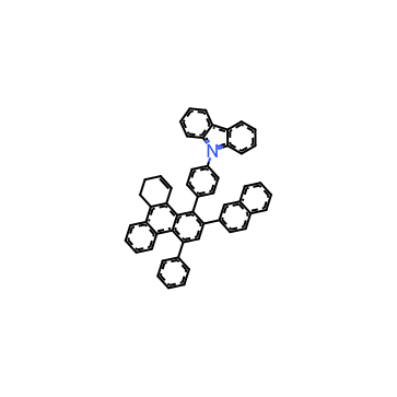 C1=Cc2c(c3ccccc3c3c(-c4ccccc4)cc(-c4ccc5ccccc5c4)c(-c4ccc(-n5c6ccccc6c6ccccc65)cc4)c23)CC1